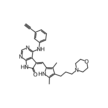 C#Cc1cccc(Nc2ncnc3c2C(=Cc2[nH]c(C)c(CCCN4CCOCC4)c2C)C(=O)N3)c1